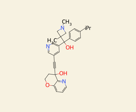 CC(C)c1ccc(C(O)(c2cncc(C#CC3(O)CCOc4cccnc43)c2)C2(C)CN(C)C2)cc1